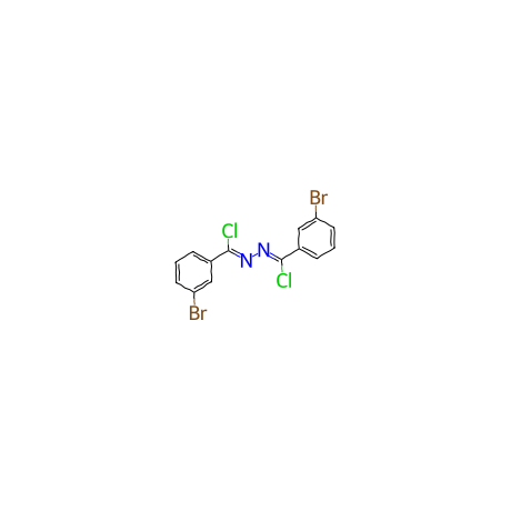 Cl/C(=N\N=C(/Cl)c1cccc(Br)c1)c1cccc(Br)c1